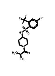 CC(C)C(=O)N1CCC(NS(=O)(=O)c2ccc(Br)cc2C(F)(F)F)CC1